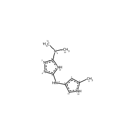 Cc1cc(Nc2nnc(N(C)C)[nH]2)c[nH]1